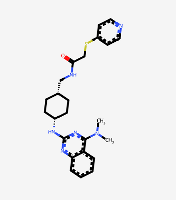 CN(C)c1nc(N[C@H]2CC[C@@H](CNC(=O)CSc3ccncc3)CC2)nc2ccccc12